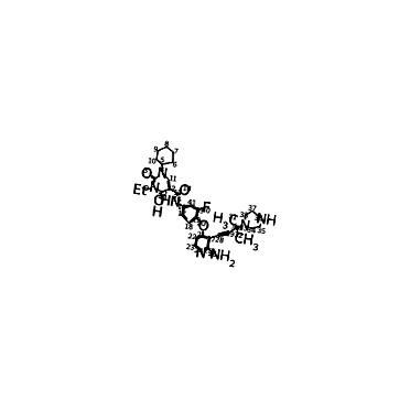 CCN1C(=O)N(C2CCCCC2)C=C(C(=O)Nc2ccc(Oc3ccnc(N)c3C#CC(C)(C)N3CCNCC3)c(F)c2)C1O